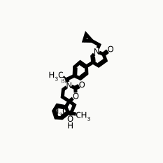 C[C@@H](c1ccc(-c2ccc(=O)n(CC3CC3)c2)cc1)N1CCC(CC(C)(C)O)(c2ccccc2)OC1=O